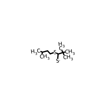 CC(C)CCSC([S])C(C)(C)C